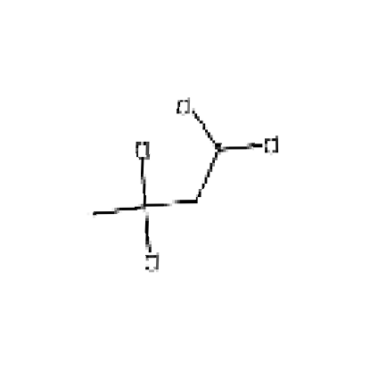 [CH2]C(Cl)(Cl)C[C](Cl)Cl